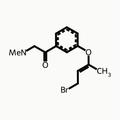 CNCC(=O)c1cccc(OC(C)=CCBr)c1